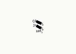 [InH3].[S]=[Cd].[S]=[Zn]